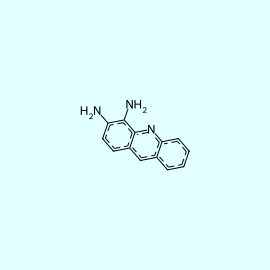 Nc1ccc2cc3ccccc3nc2c1N